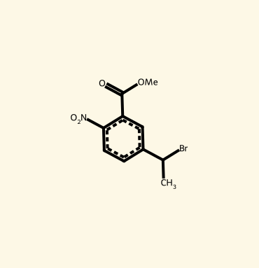 COC(=O)c1cc(C(C)Br)ccc1[N+](=O)[O-]